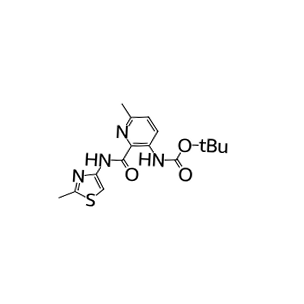 Cc1ccc(NC(=O)OC(C)(C)C)c(C(=O)Nc2csc(C)n2)n1